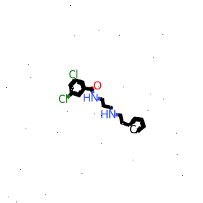 O=C(NCCCNCCc1ccccc1)c1cc(Cl)cc(Cl)c1